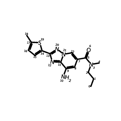 CCCN(C)C(=O)c1cc(N)c2nc(-c3ccc(C)s3)nn2c1